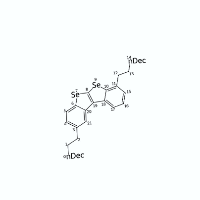 CCCCCCCCCCCCc1ccc2[se]c3[se]c4c(CCCCCCCCCCCC)cccc4c3c2c1